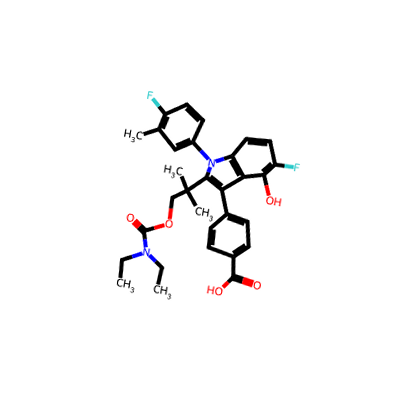 CCN(CC)C(=O)OCC(C)(C)c1c(-c2ccc(C(=O)O)cc2)c2c(O)c(F)ccc2n1-c1ccc(F)c(C)c1